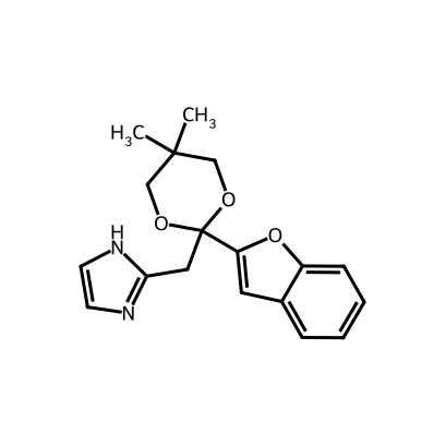 CC1(C)COC(Cc2ncc[nH]2)(c2cc3ccccc3o2)OC1